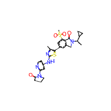 Cc1nc(Nc2ccnc(N3CCCC3=O)c2)sc1-c1cc2c(c(S(C)(=O)=O)c1)C(=O)N(C(C)C1CC1)C2